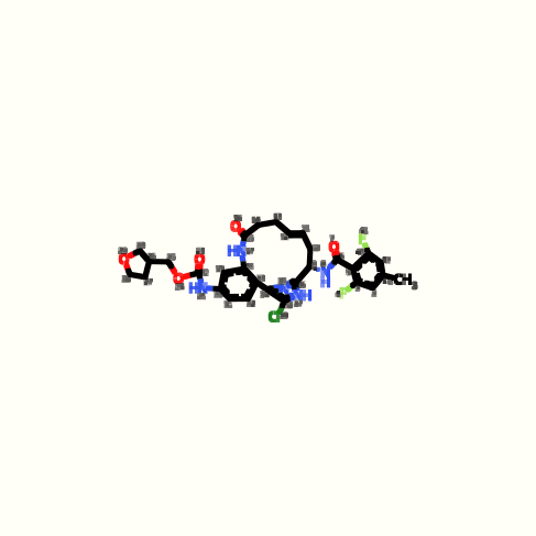 Cc1cc(F)c(C(=O)N[C@H]2C/C=C/CCC(=O)Nc3cc(NC(=O)OCC4CCOC4)ccc3-c3nc2[nH]c3Cl)c(F)c1